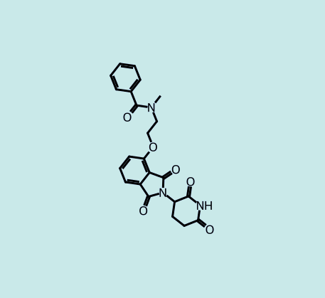 CN(CCOc1cccc2c1C(=O)N(C1CCC(=O)NC1=O)C2=O)C(=O)c1ccccc1